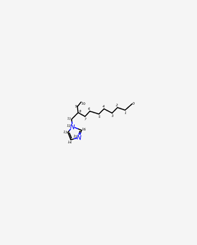 CCCCCCCCC(CC)Cn1ccnc1